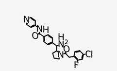 NC(c1ccc(C(=O)Nc2ccncc2)cc1)C1CCCN1C(=O)Cc1ccc(Cl)cc1F